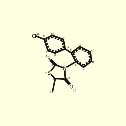 CC1SC(=S)N(c2ccccc2-c2ccc(Cl)cc2)C1=O